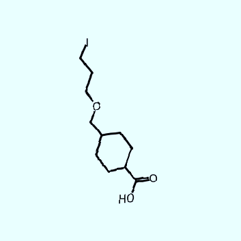 O=C(O)C1CCC(COCCCI)CC1